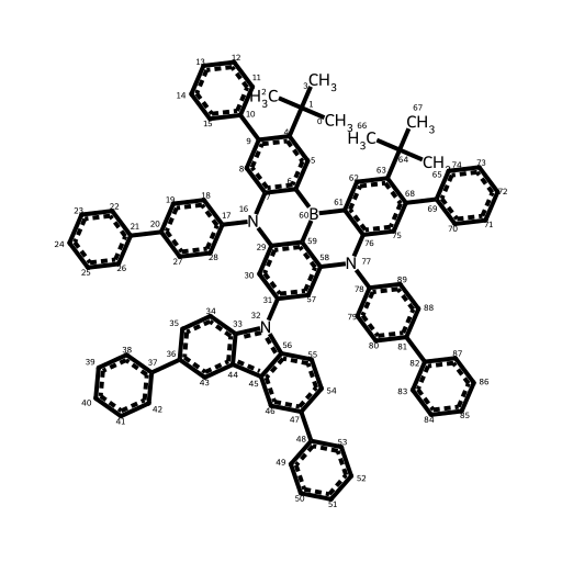 CC(C)(C)c1cc2c(cc1-c1ccccc1)N(c1ccc(-c3ccccc3)cc1)c1cc(-n3c4ccc(-c5ccccc5)cc4c4cc(-c5ccccc5)ccc43)cc3c1B2c1cc(C(C)(C)C)c(-c2ccccc2)cc1N3c1ccc(-c2ccccc2)cc1